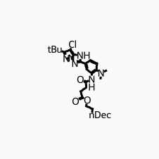 CCCCCCCCCCCCOC(=O)CCC(=O)Nc1cc(-c2nn3nc(C(C)(C)C)c(Cl)c3[nH]2)ccc1N(C)C